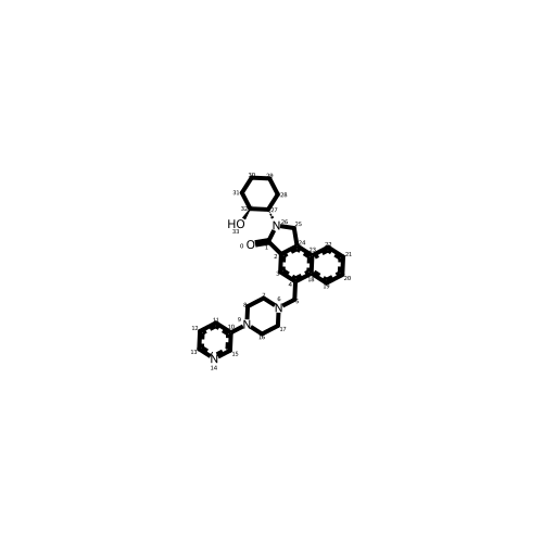 O=C1c2cc(CN3CCN(c4cccnc4)CC3)c3ccccc3c2CN1[C@H]1CCCC[C@@H]1O